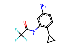 Nc1ccc([C]2CC2)c(NC(=O)C(F)(F)F)c1